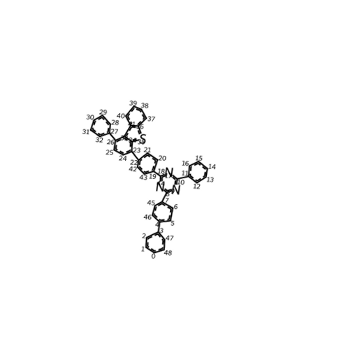 c1ccc(-c2ccc(-c3nc(-c4ccccc4)nc(-c4ccc(-c5ccc(-c6ccccc6)c6c5sc5ccccc56)cc4)n3)cc2)cc1